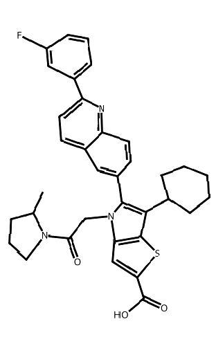 CC1CCCN1C(=O)Cn1c(-c2ccc3nc(-c4cccc(F)c4)ccc3c2)c(C2CCCCC2)c2sc(C(=O)O)cc21